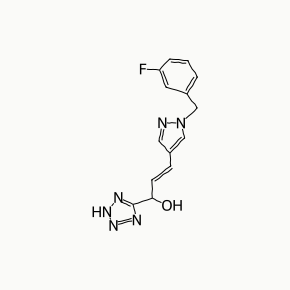 OC(C=Cc1cnn(Cc2cccc(F)c2)c1)c1nn[nH]n1